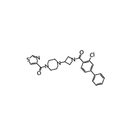 O=C(c1cscn1)N1CCN(C2CN(C(=O)c3ccc(-c4ccccc4)cc3Cl)C2)CC1